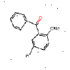 COc1ccc(C(C)C)cc1C(=O)c1ccccc1